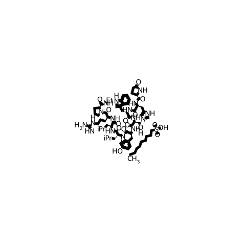 CCCCCCCCCCS(=O)(=O)O.CCNC(=O)[C@@H]1CCCN1C(=O)[C@H](CCCNC(=N)N)NC(=O)[C@H](CC(C)C)NC(=O)[C@@H](CC(C)C)NC(=O)[C@H](Cc1ccc(O)cc1)NC(=O)[C@H](CO)NC(=O)[C@H](Cc1c[nH]c2ccccc12)NC(=O)[C@H](Cc1cnc[nH]1)NC(=O)[C@@H]1CCC(=O)N1